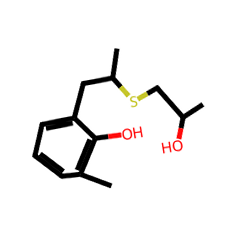 Cc1cccc(CC(C)SCC(C)O)c1O